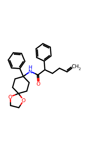 C=CCCC(C(=O)NC1(c2ccccc2)CCC2(CC1)OCCO2)c1ccccc1